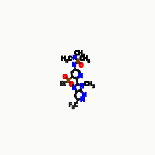 CCS(=O)(=O)c1cc(N=S(C)(=O)N(C)C)cnc1-c1nc2cc(C(F)(F)F)nnc2n1C